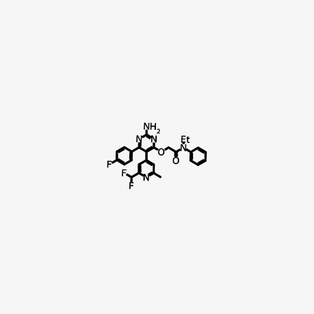 CCN(C(=O)COc1nc(N)nc(-c2ccc(F)cc2)c1-c1cc(C)nc(C(F)F)c1)c1ccccc1